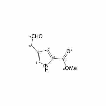 COC(=O)c1cc(CC=O)c[nH]1